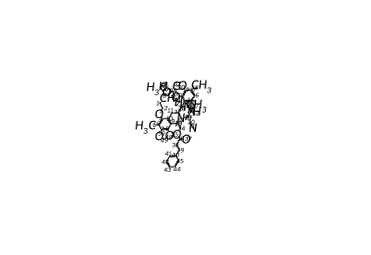 C=CCOc1c(C)c2c(c3c1CC1[C@@H]4c5c(cc(C)c(OC)c5OCOC)C[C@H]([C@H](C#N)N1[C@H]3COC(=O)CCc1ccccc1)N4C)OCO2